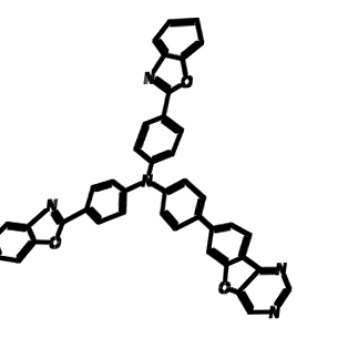 c1ccc2oc(-c3ccc(N(c4ccc(-c5ccc6c(c5)oc5cncnc56)cc4)c4ccc(-c5nc6ccccc6o5)cc4)cc3)nc2c1